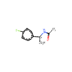 O=C(O)[C@H](NC(=O)C(F)(F)F)c1ccc(F)cc1